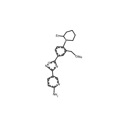 CCC1CCCCN1c1ccc(-c2nc(-c3ccc(N)nc3)no2)cc1COC